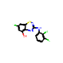 Oc1cc(Cl)cc2c1NC(Nc1cccc(Cl)c1Cl)=NS2